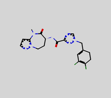 CN1C(=O)[C@@H](NC(=O)c2ncn(CC3=CC(F)=C(F)CC3)n2)CCn2nccc21